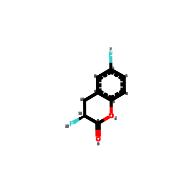 O=C1Oc2ccc(F)cc2C[C@@H]1F